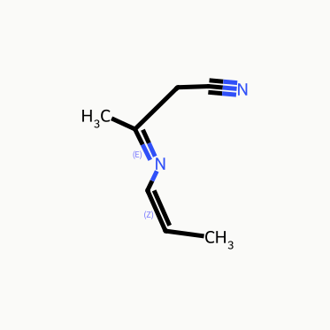 C/C=C\N=C(/C)CC#N